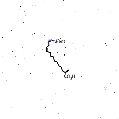 C=C(CCCCCCCC/C=C\C/C=C\CCCCC)C(=O)O